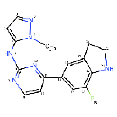 Cn1nccc1Nc1nccc(-c2cc(F)c3c(c2)CCN3)n1